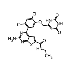 CCNC(=O)c1cc2c(-c3cc(OCc4cc(=O)[nH]c(=O)[nH]4)c(Cl)cc3Cl)nc(N)nc2s1